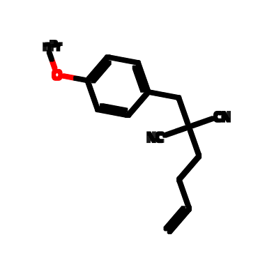 C=CCCC(C#N)(C#N)Cc1ccc(OCCC)cc1